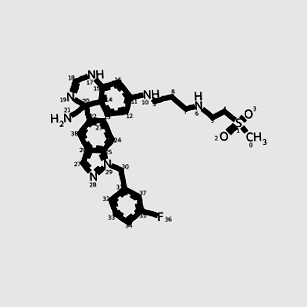 CS(=O)(=O)CCNCCCNc1ccc2c(c1)NC=NC2(N)c1ccc2c(cnn2Cc2cccc(F)c2)c1